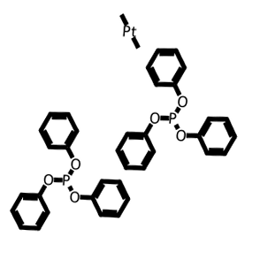 [CH3][Pt][CH3].c1ccc(OP(Oc2ccccc2)Oc2ccccc2)cc1.c1ccc(OP(Oc2ccccc2)Oc2ccccc2)cc1